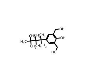 CC(C)(C)C(C)(C)C(C)(C)c1cc(CO)c(O)c(CO)c1